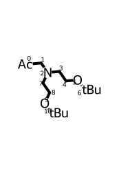 CC(=O)CN(CCOC(C)(C)C)CCOC(C)(C)C